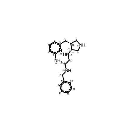 Nc1cccc(C[C@H]2CNC[C@H]2NCCNCc2ccccc2)n1